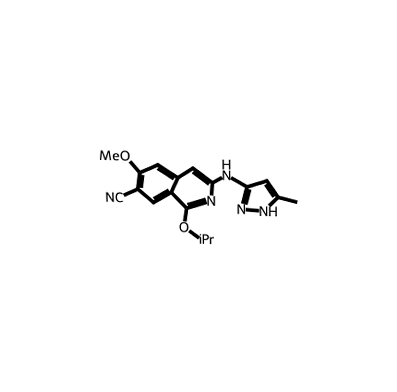 COc1cc2cc(Nc3cc(C)[nH]n3)nc(OC(C)C)c2cc1C#N